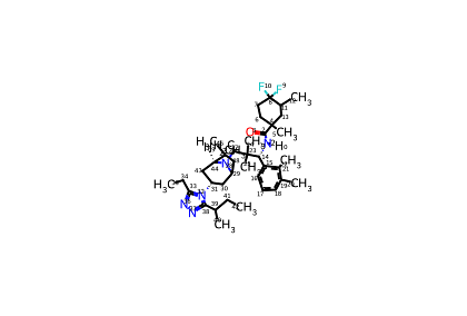 [2H]N(C(=O)C1(C)CCC(F)(F)C(C)C1)[C@H](c1cccc(C)c1C)C(C)(C)C(C)N1C2C[C@H](n3c(CC)nnc3C(C)CC)C[C@H]1C(C)(C)C2